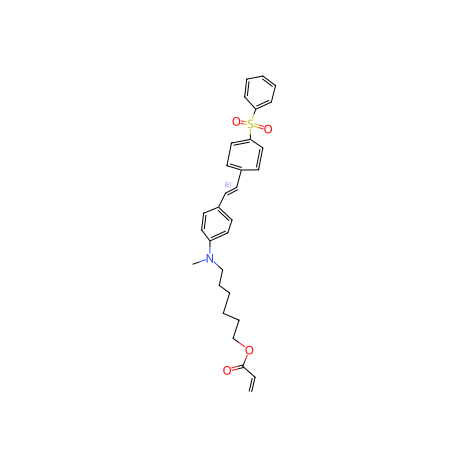 C=CC(=O)OCCCCCCN(C)c1ccc(/C=C/c2ccc(S(=O)(=O)c3ccccc3)cc2)cc1